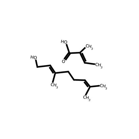 C/C=C(\C)C(=O)O.CC(C)=CCC/C(C)=C/CO